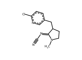 CN1CCC(Cc2ccc(Cl)nc2)C1=NC#N